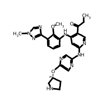 CCC(=O)c1cnc(Nc2cnc(O[C@@H]3CCNC3)cn2)cc1Nc1cccc(-c2ncn(C)n2)c1OC